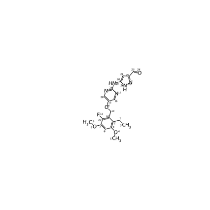 CCc1c(OC)cc(OC)c(F)c1COc1cnc(Nc2cc(C=O)n[nH]2)nc1